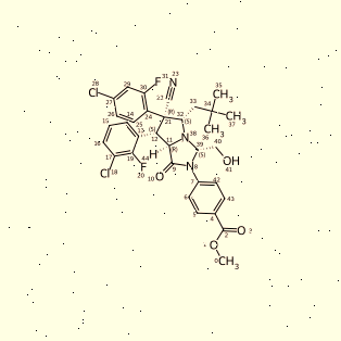 COC(=O)c1ccc(N2C(=O)[C@H]3[C@H](c4cccc(Cl)c4F)[C@@](C#N)(c4ccc(Cl)cc4F)[C@H](CC(C)(C)C)N3[C@@H]2CO)cc1